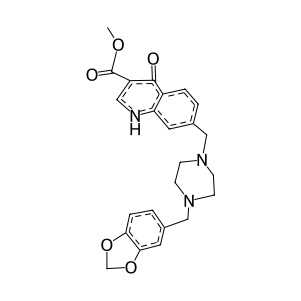 COC(=O)c1c[nH]c2cc(CN3CCN(Cc4ccc5c(c4)OCO5)CC3)ccc2c1=O